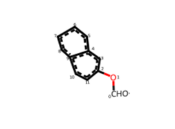 O=[C]Oc1[c]c2ccccc2cc1